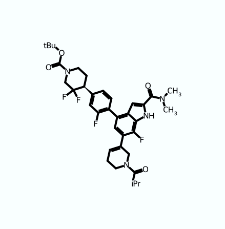 CC(C)C(=O)N1CCC=C(c2cc(-c3ccc([C@@H]4CCN(C(=O)OC(C)(C)C)CC4(F)F)cc3F)c3cc(C(=O)N(C)C)[nH]c3c2F)C1